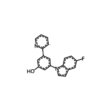 Oc1cc(-c2[c]cccn2)cc(-n2ccc3cc(F)ccc32)c1